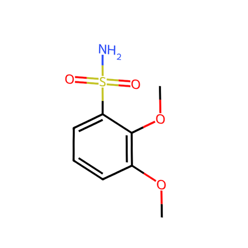 COc1cccc(S(N)(=O)=O)c1OC